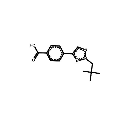 CC(C)(C)Cn1ncc(-c2ccc(C(=O)O)cc2)n1